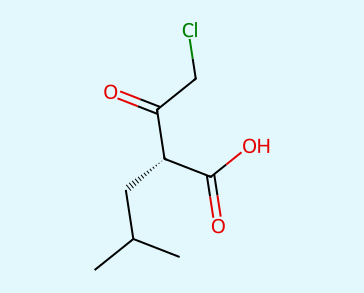 CC(C)C[C@@H](C(=O)O)C(=O)CCl